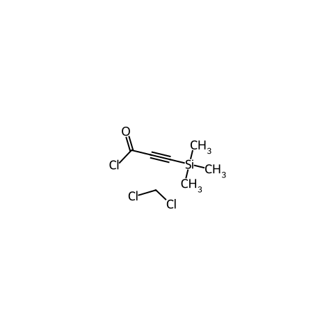 C[Si](C)(C)C#CC(=O)Cl.ClCCl